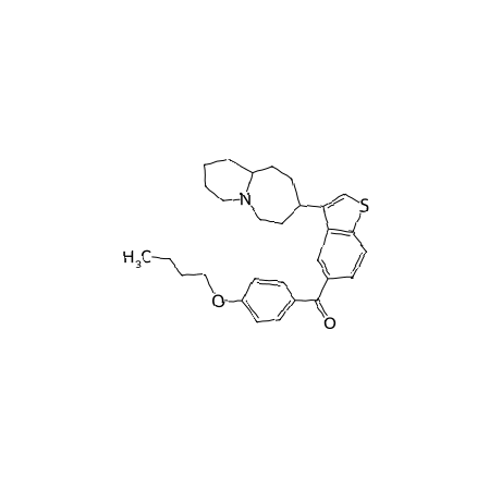 CCCCOc1ccc(C(=O)c2ccc3scc(C4CCC5CCCCN5CC4)c3c2)cc1